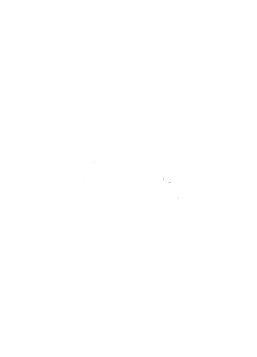 O=S(=O)(OCCCCCOS(=O)(=O)C(F)(F)F)C(F)(F)F